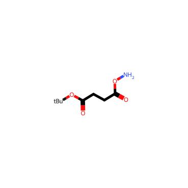 CC(C)(C)OC(=O)CCC(=O)ON